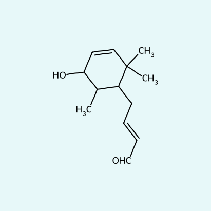 CC1C(O)C=CC(C)(C)C1C/C=C/C=O